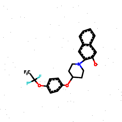 [O]c1cc2ccccc2cc1N1CCC(Oc2ccc(OC(F)(F)C(F)(F)F)cc2)CC1